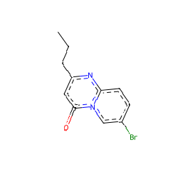 CCCc1cc(=O)n2cc(Br)ccc2n1